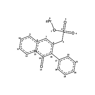 CCCOS(=O)(=O)Cc1cc2ccccn2c(=O)c1-c1ccccc1